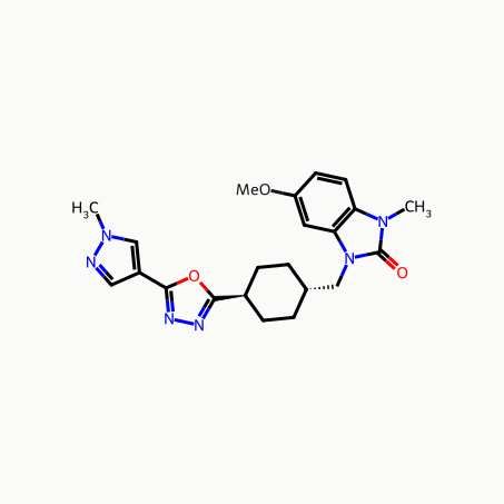 COc1ccc2c(c1)n(C[C@H]1CC[C@H](c3nnc(-c4cnn(C)c4)o3)CC1)c(=O)n2C